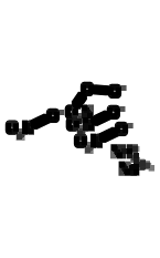 O=[N+]([O-])O[O-].O=[N+]([O-])[O-].O=[N+]([O-])[O-].O=[N+]([O-])[O-].[NH4+].[Nd+3]